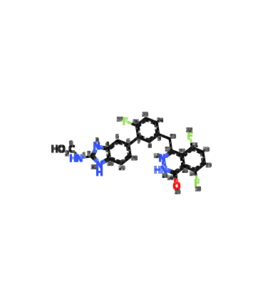 O=C(O)Nc1nc2cc(-c3cc(Cc4n[nH]c(=O)c5c(F)ccc(F)c45)ccc3F)ccc2[nH]1